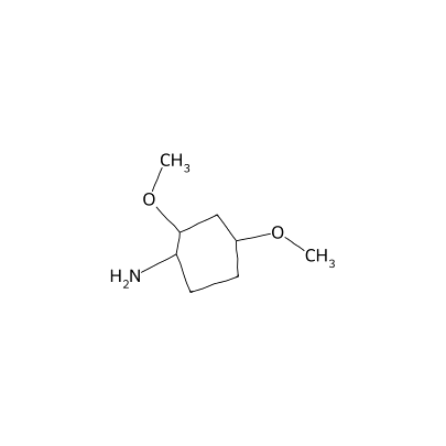 COC1CCC(N)C(OC)C1